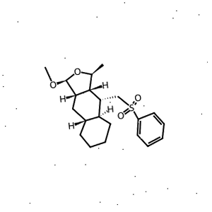 CO[C@H]1O[C@@H](C)[C@H]2[C@@H]1C[C@H]1CCCC[C@@H]1[C@H]2CS(=O)(=O)c1ccccc1